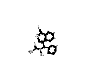 CCN(C(N)=O)C(c1ccccc1)c1c[nH]c(=O)c2ccccc12